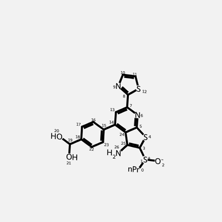 CCC[S+]([O-])c1sc2nc(-c3nccs3)cc(-c3ccc(C(O)O)cc3)c2c1N